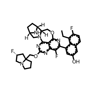 CCc1c(F)ccc2cc(O)cc(-c3nc4c5c(nc(OCC67CCCN6C[C@H](F)C7)nc5c3F)N3C[C@@H]5CC[C@@H](N5)[C@@H]3CO4)c12